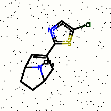 CN1C2C=C(c3ncc(Cl)s3)CC1CC2